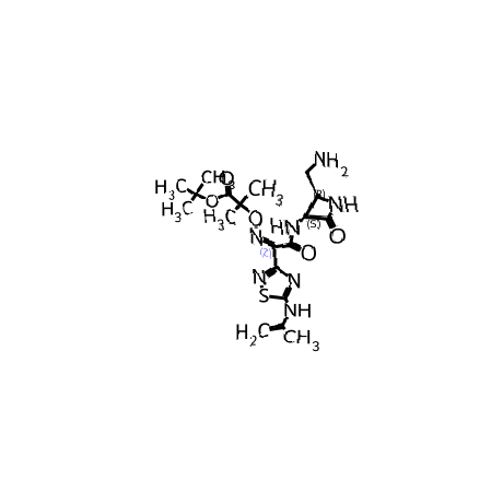 C=C(C)Nc1nc(/C(=N/OC(C)(C)C(=O)OC(C)(C)C)C(=O)N[C@@H]2C(=O)N[C@@H]2CN)ns1